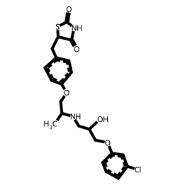 CC(COc1ccc(CC2SC(=O)NC2=O)cc1)NCC(O)COc1cccc(Cl)c1